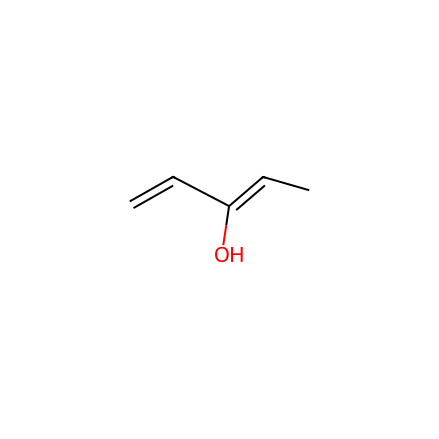 C=CC(O)=CC